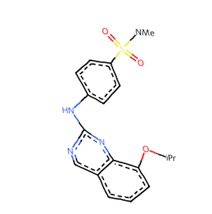 CNS(=O)(=O)c1ccc(Nc2ncc3cccc(OC(C)C)c3n2)cc1